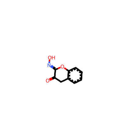 O=C1Cc2ccccc2OC1=NO